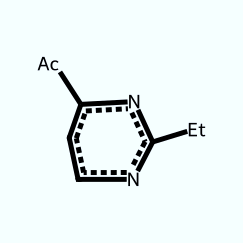 CCc1nccc(C(C)=O)n1